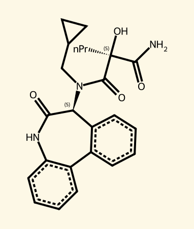 CCC[C@](O)(C(N)=O)C(=O)N(CC1CC1)[C@@H]1C(=O)Nc2ccccc2-c2ccccc21